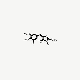 COc1cc(C=C2N=C(C=O)N(C)C2=O)cc(F)c1O